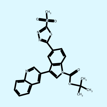 CC(C)(C)OC(=O)n1cc(-c2cnc3ccccc3c2)c2cc(-c3nnc(S(C)(=O)=O)s3)ccc21